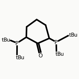 CC(C)(C)P(C1CCCC(P(C(C)(C)C)C(C)(C)C)C1=O)C(C)(C)C